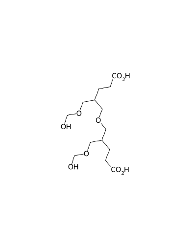 O=C(O)CCC(COCO)COCC(CCC(=O)O)COCO